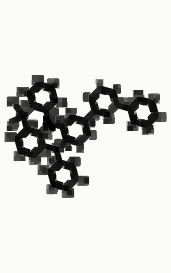 Cc1ccc(-c2cccc(-c3ccccc3)c2)cc1N1c2ccccc2C(C)(C)c2cccc(Cc3ccccc3)c21